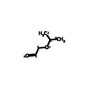 CC(C)OCC=O